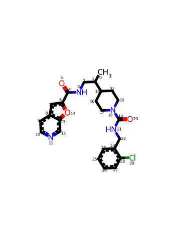 CC(CNC(=O)c1cc2ccncc2o1)C1CCN(C(=O)NCc2ccccc2Cl)CC1